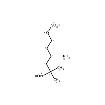 CCCCCCCCC(C)(C)CCCCOS(=O)(=O)O.N